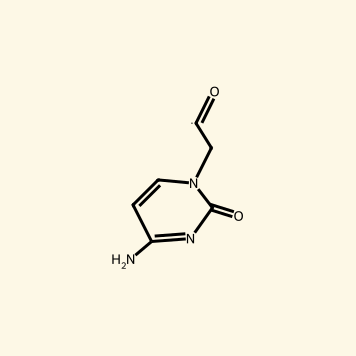 Nc1ccn(C[C]=O)c(=O)n1